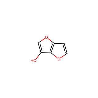 Oc1coc2ccoc12